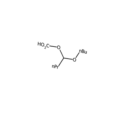 CCCCOC(CCC)OC(=O)O